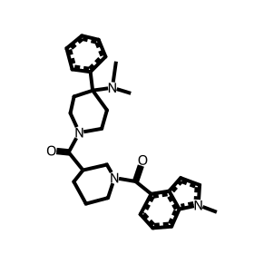 CN(C)C1(c2ccccc2)CCN(C(=O)C2CCCN(C(=O)c3cccc4c3ccn4C)C2)CC1